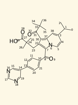 CC(C)c1ccn2c(C(=O)c3ccc(-c4cncnc4)cc3)c(CC(C)(C)C(=O)O)c(C(=O)C(C)(C)C)c2c1